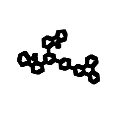 c1ccc2c(c1)sc1c(-c3cc(-c4ccc(-c5ccc6c7ccccc7c7ccccc7c6c5)cc4)cc(-c4cccc5c4sc4ccccc45)c3)cccc12